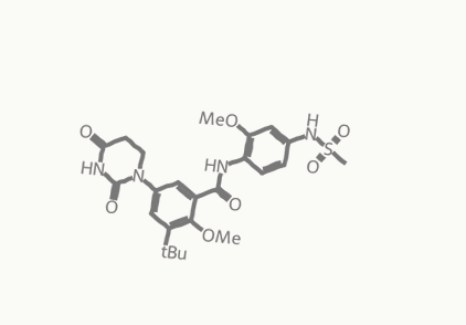 COc1cc(NS(C)(=O)=O)ccc1NC(=O)c1cc(N2CCC(=O)NC2=O)cc(C(C)(C)C)c1OC